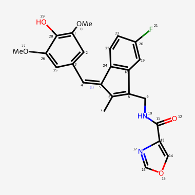 COc1cc(/C=C2/C(C)=C(CNC(=O)c3cocn3)c3cc(F)ccc32)cc(OC)c1O